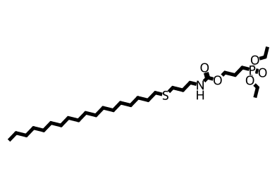 CCCCCCCCCCCCCCCCCCSCCCNC(=O)OCCCP(=O)(OCC)OCC